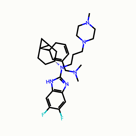 CN(C)CC1=CC([C@]23CC[C@@H](N(CCCN4CCN(C)CC4)c4nc5cc(F)c(F)cc5[nH]4)CC2C3)CC=C1